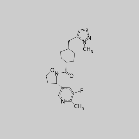 Cc1ncc([C@@H]2CCON2C(=O)[C@H]2CC[C@H](Cc3ccnn3C)CC2)cc1F